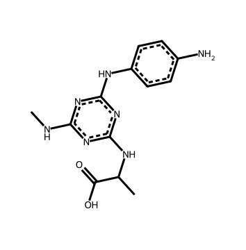 CNc1nc(Nc2ccc(N)cc2)nc(NC(C)C(=O)O)n1